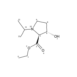 CCOC(=O)[C@@H]1[C@@H](O)CCN1C(C)C